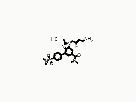 Cc1nc2c(-c3ccc(S(=O)(=O)N(C)C)cc3)cc(C(=O)N(C)C)cc2n1C/C(F)=C/CN.Cl